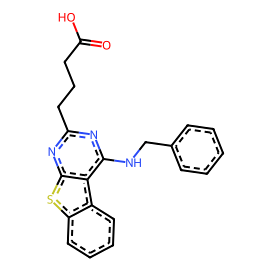 O=C(O)CCCc1nc(NCc2ccccc2)c2c(n1)sc1ccccc12